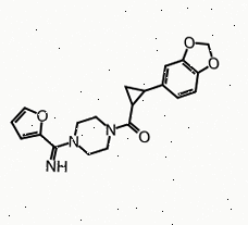 N=C(c1ccco1)N1CCN(C(=O)C2CC2c2ccc3c(c2)OCO3)CC1